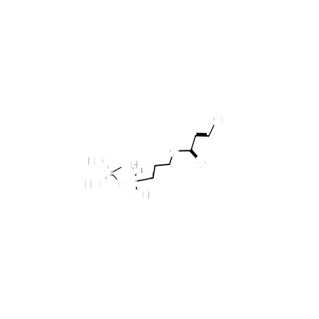 C/C=C/C(=O)OCCC[Si](C)(C)O[Si](C)(C)C